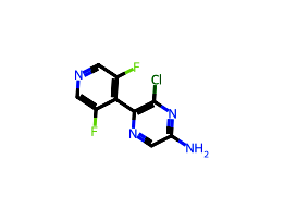 Nc1cnc(-c2c(F)cncc2F)c(Cl)n1